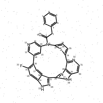 O=C(Cc1ccccc1)n1c2cncc(c2)c2cc3c(cc2F)[nH]nc3c2nc3c(ccnc3c3ccc1s3)[nH]2